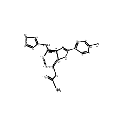 NC(=O)Cc1nnc(Nc2ccsc2)c2cc(-c3ccc(Cl)cc3)sc12